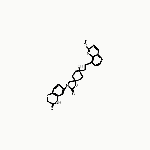 COc1ccc2nccc(CCC3(O)CCC4(CC3)CN(c3ccc5c(c3)NC(=O)CS5)C(=O)O4)c2n1